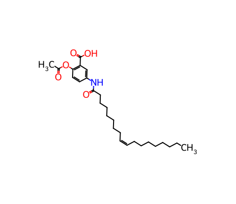 CCCCCCCC/C=C\CCCCCCCC(=O)Nc1ccc(OC(C)=O)c(C(=O)O)c1